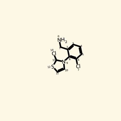 NCc1cccc(Cl)c1N1C=CSC1Cl